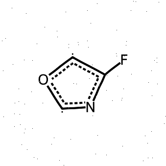 Fc1[c]o[c]n1